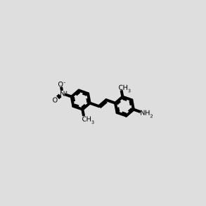 Cc1cc(N)ccc1/C=C/c1ccc([N+](=O)[O-])cc1C